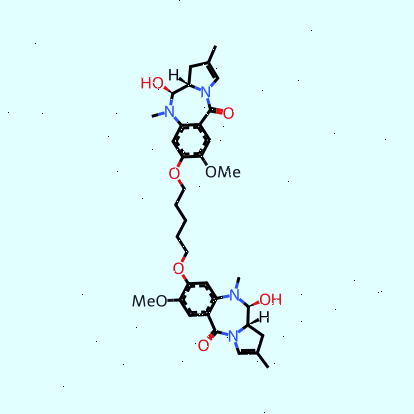 COc1cc2c(cc1OCCCCCOc1cc3c(cc1OC)C(=O)N1C=C(C)C[C@H]1[C@H](O)N3C)N(C)[C@@H](O)[C@@H]1CC(C)=CN1C2=O